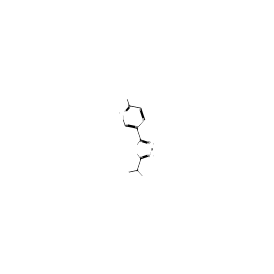 Fc1ccc(-c2nnc(C(F)F)o2)cn1